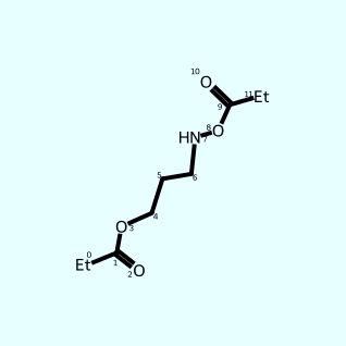 CCC(=O)OCCCNOC(=O)CC